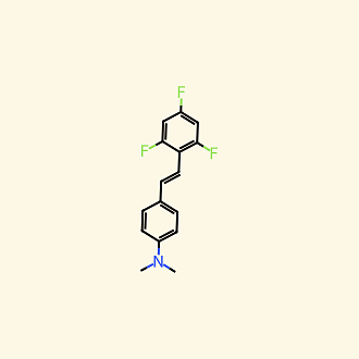 CN(C)c1ccc(C=Cc2c(F)cc(F)cc2F)cc1